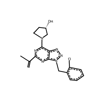 C=C(C)c1nc(N2CC[C@H](O)C2)c2nnn(Cc3ccccc3Cl)c2n1